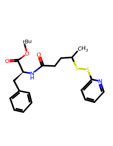 CC(CCC(=O)N[C@@H](Cc1ccccc1)C(=O)OC(C)(C)C)SSc1ccccn1